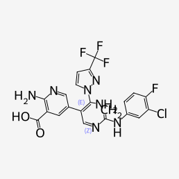 C=C(/N=C\C(=C(/N)n1ccc(C(F)(F)F)n1)c1cnc(N)c(C(=O)O)c1)Nc1ccc(F)c(Cl)c1